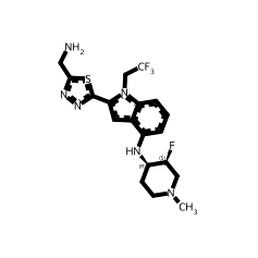 CN1CC[C@@H](Nc2cccc3c2cc(-c2nnc(CN)s2)n3CC(F)(F)F)[C@@H](F)C1